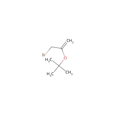 C=C(CBr)OC(C)(C)C